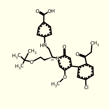 CCC(=O)c1ccc(Cl)cc1-c1cc(=O)n([C@@H](CCOC(C)(C)C)CNc2ccc(C(=O)O)cc2)cc1OC